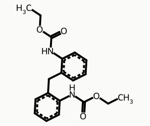 CCOC(=O)Nc1ccccc1Cc1ccccc1NC(=O)OCC